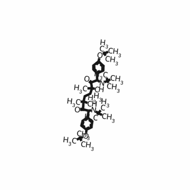 CC(C)(C)NC(C(=O)C(C)(C)CCC(C)(C)C(=O)C(NC(C)(C)C)c1ccc(OC(C)(C)C)cc1)c1ccc(OC(C)(C)C)cc1